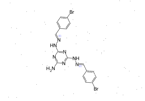 Nc1nc(N/N=C/c2ccc(Br)cc2)nc(N/N=C/c2ccc(Br)cc2)n1